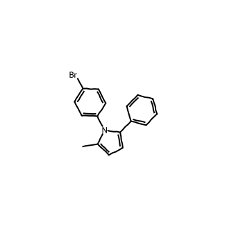 Cc1ccc(-c2ccccc2)n1-c1ccc(Br)cc1